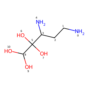 NCCC(N)C(O)(O)C(O)O